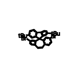 CC(C)(C)c1ccc2c(c1)C1(c3cc(Br)ccc3C=Cc3ccc(Br)cc31)c1cc(C(C)(C)C)ccc1-2